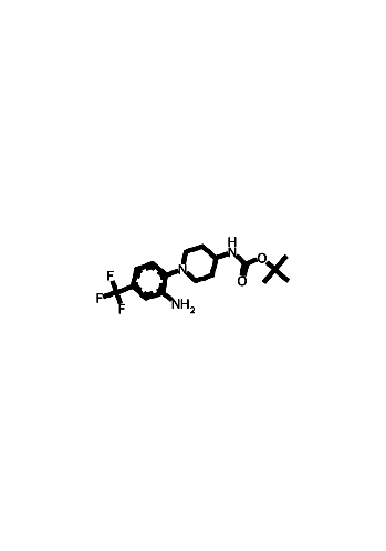 CC(C)(C)OC(=O)NC1CCN(c2ccc(C(F)(F)F)cc2N)CC1